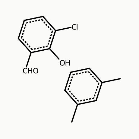 Cc1cccc(C)c1.O=Cc1cccc(Cl)c1O